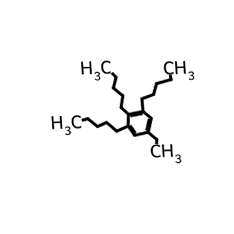 CCCCCc1cc(CC)cc(CCCCC)c1CCCCC